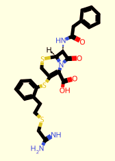 N=C(N)CSCCc1ccccc1SC1=C(C(=O)O)N2C(=O)[C@@H](NC(=O)Cc3ccccc3)[C@@H]2SC1